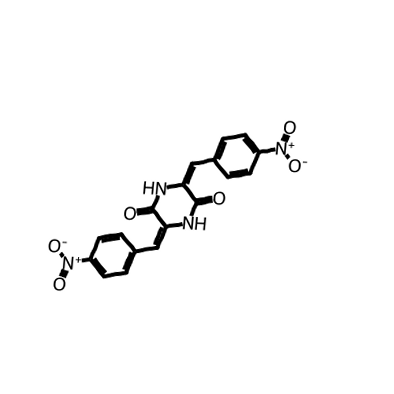 O=c1[nH]c(=Cc2ccc([N+](=O)[O-])cc2)c(=O)[nH]c1=Cc1ccc([N+](=O)[O-])cc1